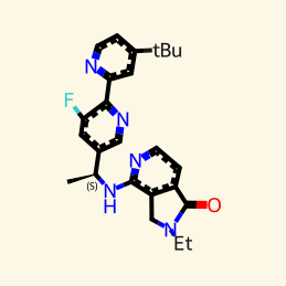 CCN1Cc2c(ccnc2N[C@@H](C)c2cnc(-c3cc(C(C)(C)C)ccn3)c(F)c2)C1=O